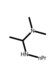 CCCNC(C)N(C)C